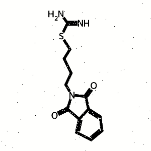 N=C(N)SCCCCN1C(=O)c2ccccc2C1=O